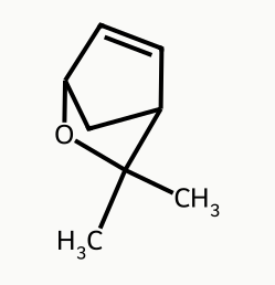 CC1(C)OC2C=CC1C2